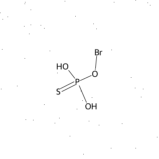 OP(O)(=S)OBr